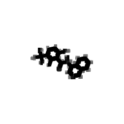 Cc1c(C(F)(F)F)ccc(F)c1C(=O)Nc1cncc2ccccc12